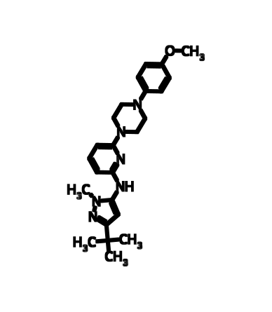 COc1ccc(N2CCN(c3cccc(Nc4cc(C(C)(C)C)nn4C)n3)CC2)cc1